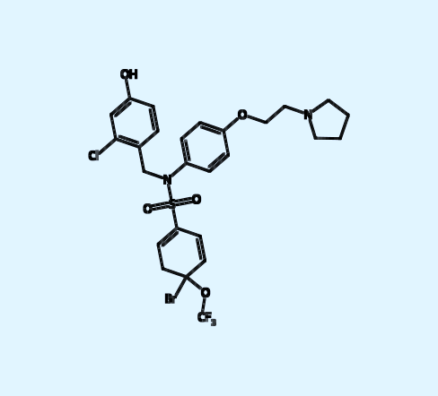 O=S(=O)(C1=CCC(Br)(OC(F)(F)F)C=C1)N(Cc1ccc(O)cc1Cl)c1ccc(OCCN2CCCC2)cc1